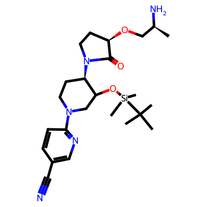 C[C@H](N)CO[C@@H]1CCN([C@@H]2CCN(c3ccc(C#N)cn3)CC2O[Si](C)(C)C(C)(C)C)C1=O